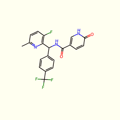 Cc1ccc(F)c(C(NC(=O)c2ccc(=O)[nH]c2)c2ccc(C(F)(F)F)cc2)n1